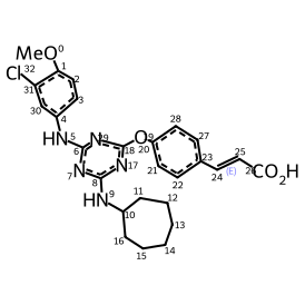 COc1ccc(Nc2nc(NC3CCCCCC3)nc(Oc3ccc(/C=C/C(=O)O)cc3)n2)cc1Cl